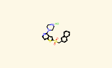 Cl.O=S(=O)(Cc1ccc2ccccc2c1)c1cc2c(N3CCNCC3)nccc2s1